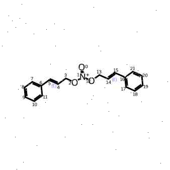 O=[N+](OC/C=C/c1ccccc1)OC/C=C/c1ccccc1